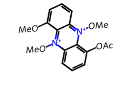 COc1cccc2c1[n+](OC)c1cccc(OC(C)=O)c1[n+]2OC